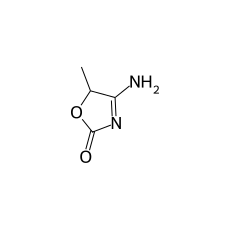 CC1OC(=O)N=C1N